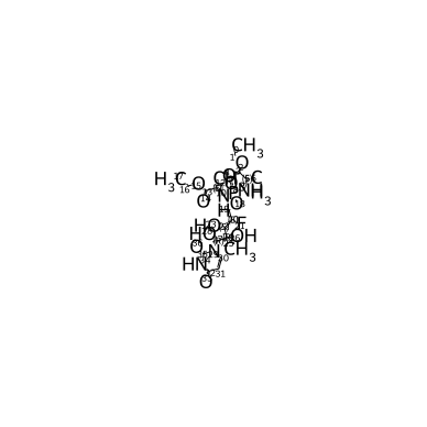 CCOC(=O)[C@H](C)NP(=O)(N[C@@H](C)C(=O)OCC)OC[C@H](F)[C@@H](O)[C@@](C)(O)[C@@H](O)n1ccc(=O)[nH]c1=O